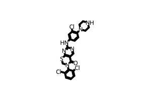 O=C1c2cnc(Nc3ccc(N4CCNCC4)c(Cl)c3)nc2SCN1c1c(Cl)cccc1Cl